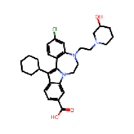 O=C(O)c1ccc2c(C3CCCCC3)c3n(c2c1)CCN(CCN1CCCC(O)C1)c1cc(Cl)ccc1-3